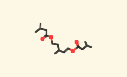 CC(C)CC(=O)OCCC(C)CCOC(=O)CC(C)C